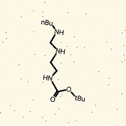 CCCCNCNCCNC(=O)OC(C)(C)C